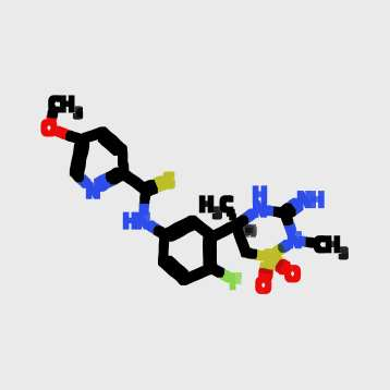 COc1ccc(C(=S)Nc2ccc(F)c([C@]3(C)CS(=O)(=O)N(C)C(=N)N3)c2)nc1